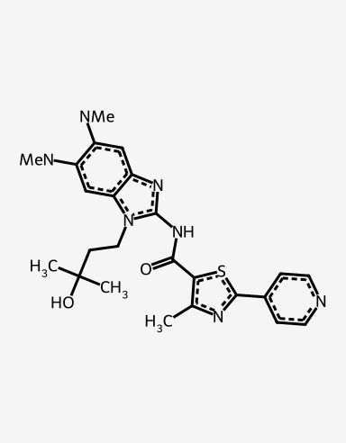 CNc1cc2nc(NC(=O)c3sc(-c4ccncc4)nc3C)n(CCC(C)(C)O)c2cc1NC